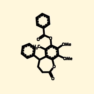 COc1c(OC(=O)c2ccccc2)c(C)c2c(c1OC)OC(=O)CCC2c1ccccc1